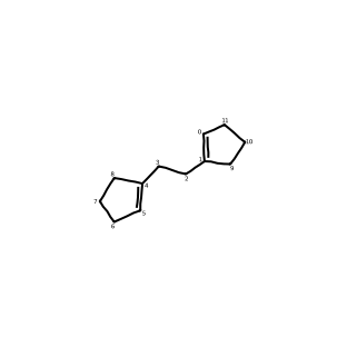 C1=C(CCC2=CCCC2)CCC1